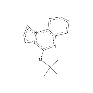 CC(C)(C)Oc1nc2ccccc2n2ccnc12